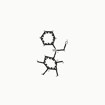 Cc1cc([SiH](CCl)c2ccccc2)c(C)c(C)c1C